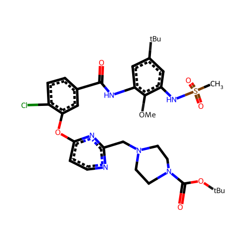 COc1c(NC(=O)c2ccc(Cl)c(Oc3ccnc(CN4CCN(C(=O)OC(C)(C)C)CC4)n3)c2)cc(C(C)(C)C)cc1NS(C)(=O)=O